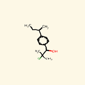 CCC(C)c1ccc(C(O)C(C)(C)Cl)cc1